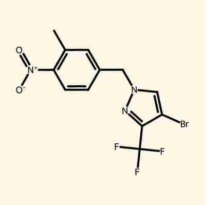 Cc1cc(Cn2cc(Br)c(C(F)(F)F)n2)ccc1[N+](=O)[O-]